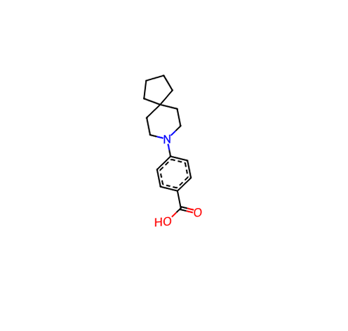 O=C(O)c1ccc(N2CCC3(CCCC3)CC2)cc1